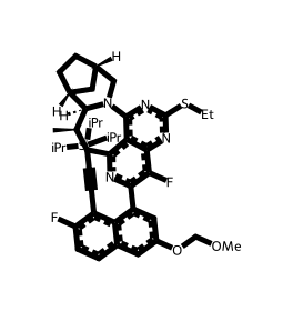 CCSc1nc2c3c(nc(-c4cc(OCOC)cc5ccc(F)c(C#C[Si](C(C)C)(C(C)C)C(C)C)c45)c(F)c3n1)C[C@@H](C)[C@H]1[C@@H]3CC[C@@H](C3)CN21